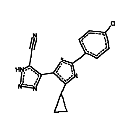 N#Cc1[nH]nnc1-c1sc(-c2ccc(Cl)cc2)nc1C1CC1